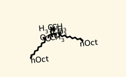 CCCCCCCC/C=C\CCCCCCCC(=O)OCC(C)(COC(=O)CCCCCCC/C=C\CCCCCCCC)C[N+](C)(C)C